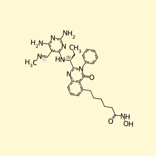 CC[C@H](Nc1nc(N)nc(N)c1/C=N/C)c1nc2cccc(CCCCCC(=O)NO)c2c(=O)n1-c1ccccc1